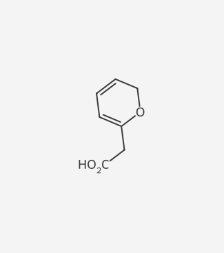 O=C(O)CC1=CC=CCO1